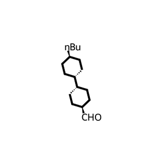 CCCC[C@H]1CC[C@H]([C@H]2CC[C@H](C=O)CC2)CC1